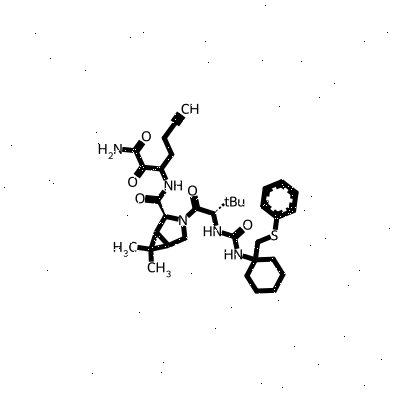 C#CCCC(NC(=O)[C@@H]1C2C(CN1C(=O)[C@@H](NC(=O)NC1(CSc3ccccc3)CCCCC1)C(C)(C)C)C2(C)C)C(=O)C(N)=O